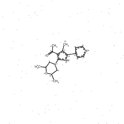 CC(=O)c1c(N2CC(C)OC(C)C2)[nH]c(-c2ccncc2)c1C